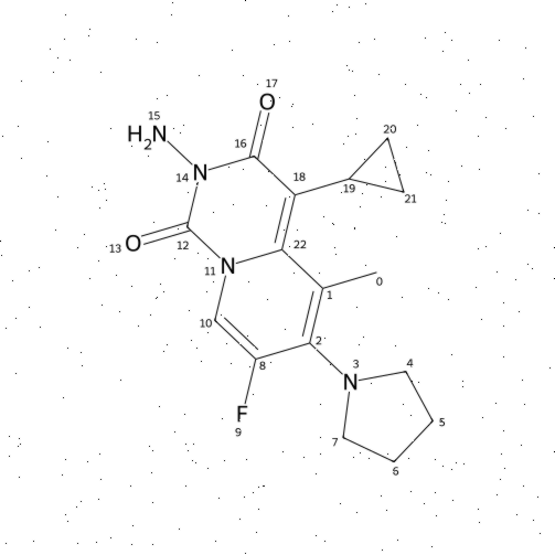 Cc1c(N2CCCC2)c(F)cn2c(=O)n(N)c(=O)c(C3CC3)c12